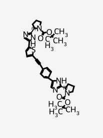 CC(C)(C)OC(=O)N1CCC[C@@H]1c1ncc(-c2ccc(C#Cc3ccc(-c4cnc([C@H]5CCCN5C(=O)OC(C)(C)C)[nH]4)s3)cc2)[nH]1